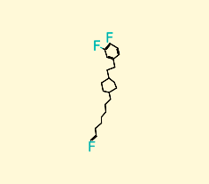 F/C=C/CCCCCCC1CCC(CCc2ccc(F)c(F)c2)CC1